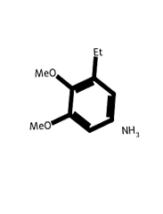 CCc1cccc(OC)c1OC.N